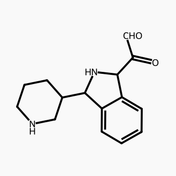 O=CC(=O)C1NC(C2CCCNC2)c2ccccc21